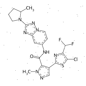 CC1CCCN1c1nc2cc(NC(=O)c3c(-c4nc(C(F)F)c(Cl)s4)cnn3C)ccn2n1